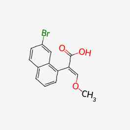 CO/C=C(/C(=O)O)c1cccc2ccc(Br)cc12